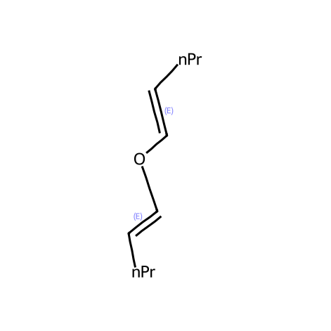 CCC/C=C/O/C=C/CCC